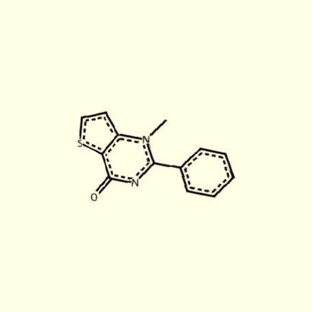 Cn1c(-c2ccccc2)nc(=O)c2sccc21